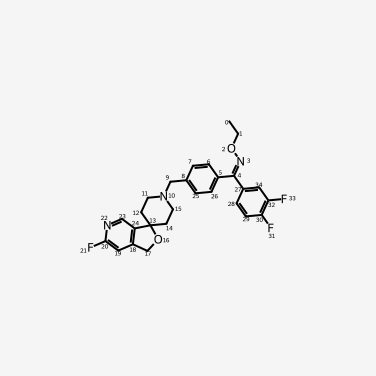 CCO/N=C(\c1ccc(CN2CCC3(CC2)OCc2cc(F)ncc23)cc1)c1ccc(F)c(F)c1